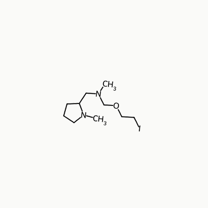 CN(COCCI)CC1CCCN1C